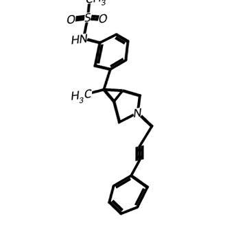 CC1(c2cccc(NS(C)(=O)=O)c2)C2CN(CC#Cc3ccccc3)CC21